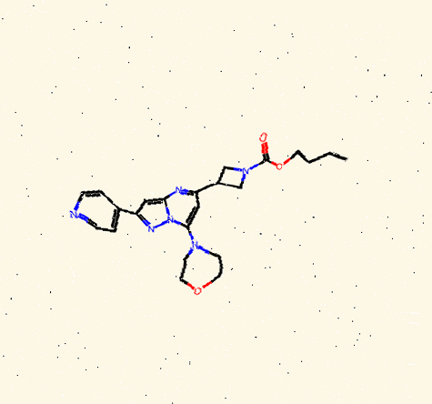 CCCCOC(=O)N1CC(c2cc(N3CCOCC3)n3nc(-c4ccncc4)cc3n2)C1